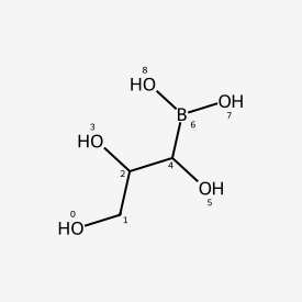 OCC(O)C(O)B(O)O